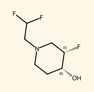 O[C@@H]1CCN(CC(F)F)C[C@@H]1F